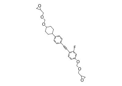 Fc1cc(OCOCC2CO2)ccc1C#Cc1ccc(C2CCC(OCOCC3CO3)CC2)cc1